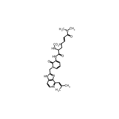 CC(C)=Cc1nccc2[nH]c(Cn3cccc(NC(=O)C(CCC=CC(=O)N(C)C)NC(=O)O)c3=O)nc12